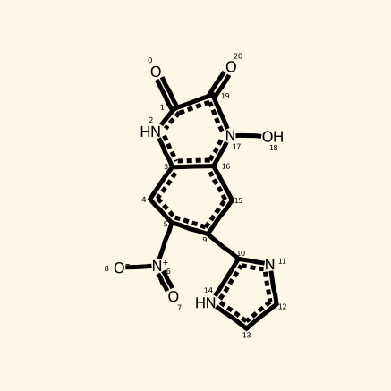 O=c1[nH]c2cc([N+](=O)[O-])c(-c3ncc[nH]3)cc2n(O)c1=O